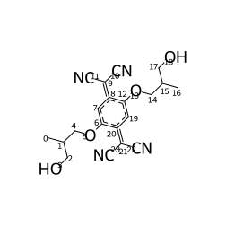 CC(CO)COc1cc(=C(C#N)C#N)c(OCC(C)CO)cc1=C(C#N)C#N